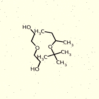 CCC(C)OC(C)(C)C.OCCOCCO